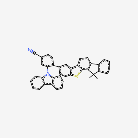 CC1(C)c2ccccc2-c2ccc3c(sc4ccc(-c5ccc(C#N)cc5-n5c6ccccc6c6ccccc65)cc43)c21